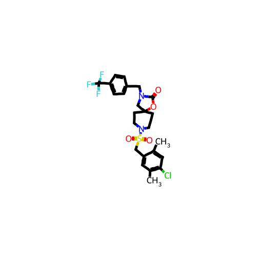 Cc1cc(CS(=O)(=O)N2CCC3(CC2)CN(Cc2ccc(C(F)(F)F)cc2)C(=O)O3)c(C)cc1Cl